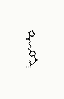 O=C(O)CC1CC1c1ccc(OCCCNc2ccccn2)cc1